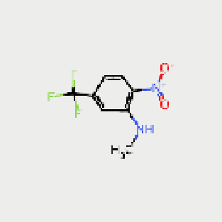 CNc1cc(C(F)(F)F)ccc1[N+](=O)[O-]